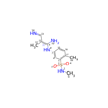 CNS(=O)(=O)c1cc(N/C(N)=C(\C)C=N)ccc1C